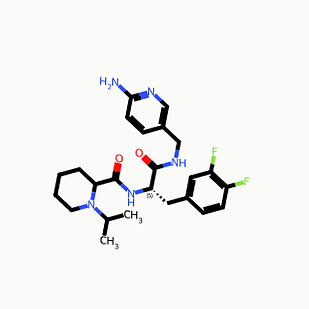 CC(C)N1CCCCC1C(=O)N[C@@H](Cc1ccc(F)c(F)c1)C(=O)NCc1ccc(N)nc1